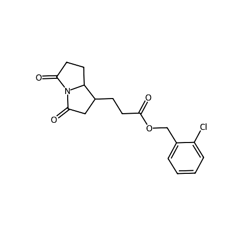 O=C(CCC1CC(=O)N2C(=O)CCC12)OCc1ccccc1Cl